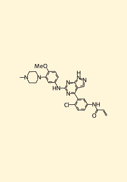 C=CC(=O)Nc1ccc(Cl)c(-c2nc(Nc3ccc(OC)c(N4CCN(C)CC4)c3)nc3[nH]ncc23)c1